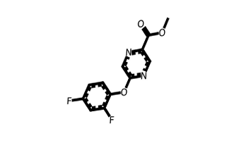 COC(=O)c1cnc(Oc2ccc(F)cc2F)cn1